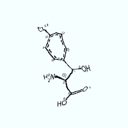 N[C@H](C(=O)O)C(O)c1ccc(Cl)cc1